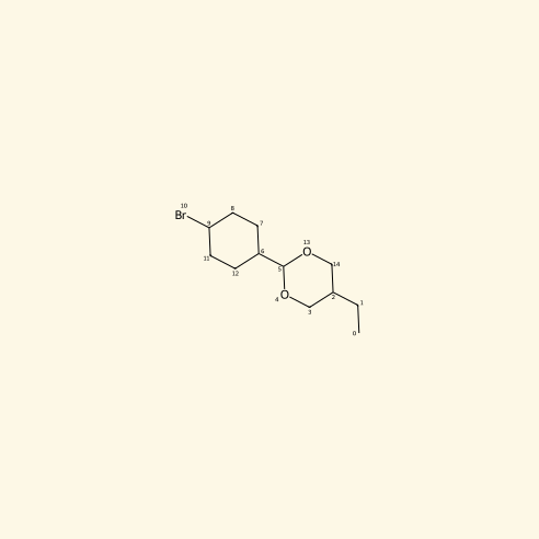 CCC1COC(C2CCC(Br)CC2)OC1